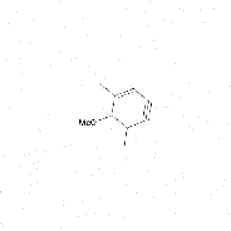 COC1C(C)=CC#CC1C